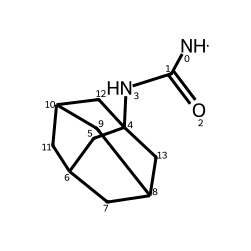 [NH]C(=O)NC12CC3CC(CC(C3)C1)C2